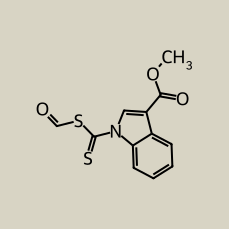 COC(=O)c1cn(C(=S)SC=O)c2ccccc12